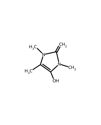 C=C1N(C)C(C)=C(O)N1C